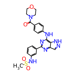 CS(=O)(=O)Nc1cccc(-c2nc(Nc3ccc(C(=O)N4CCOCC4)cc3)c3[nH]ncc3n2)c1